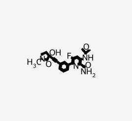 CN1CCC(O)(C#Cc2cccc(-c3nc(C(N)=O)c(NC4COC4)cc3F)c2)C1=O